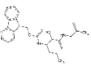 CCCC(NC(=O)OCC1c2ccccc2-c2ccccc21)C(O)C(=O)NCC(C)=O